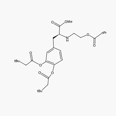 CCCC(=O)OCCN[C@@H](Cc1ccc(OC(=O)CC(C)(C)C)c(OC(=O)CC(C)(C)C)c1)C(=O)OC